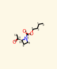 CCCCOC(=O)N1CC[C@H]1C(C)=O